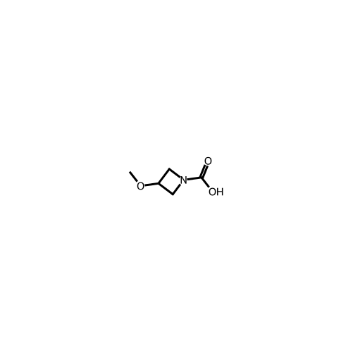 COC1CN(C(=O)O)C1